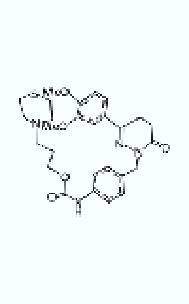 COc1ccc(C2=NN(Cc3ccc(NC(=O)OCCCN4CCSCC4)cc3)C(=O)CC2)cc1OC